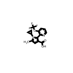 Cc1cc(C(=O)O)c(-c2ncccc2OC(F)(F)F)n1C1CC1